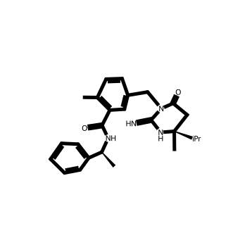 Cc1ccc(CN2C(=N)N[C@](C)(C(C)C)CC2=O)cc1C(=O)N[C@@H](C)c1ccccc1